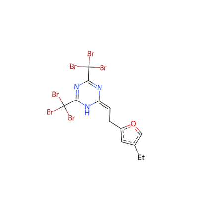 CCc1coc(CC=C2N=C(C(Br)(Br)Br)N=C(C(Br)(Br)Br)N2)c1